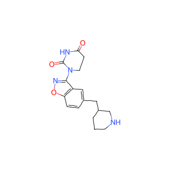 O=C1CCN(c2noc3ccc(CC4CCCNC4)cc23)C(=O)N1